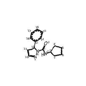 O=C(NC1CCCC1)N1N=CCC1c1ccccc1